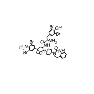 Nc1c(Br)cc(C(=O)CC(NC(=O)C(N)Cc2cc(Br)c(O)c(Br)c2)C(=O)N2CCC(N3CCc4ccccc4NC3=O)CC2)cc1Br